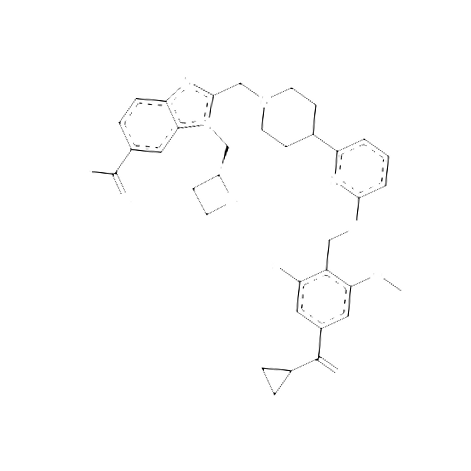 COc1cc(C(=O)C2CC2)cc(F)c1COc1cccc(C2CCN(Cc3nc4ccc(C(=O)O)cc4n3C[C@@H]3CCO3)CC2)n1